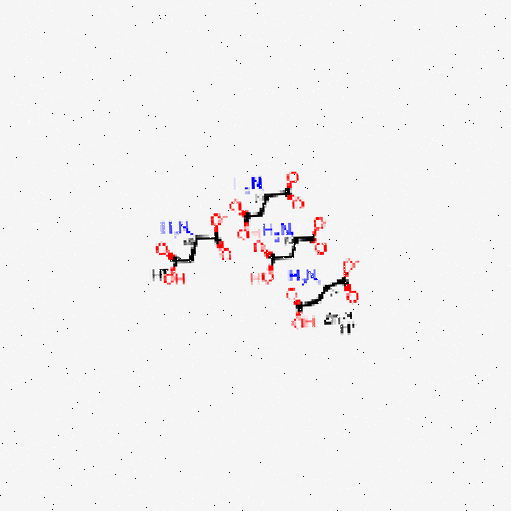 N[C@@H](CC(=O)O)C(=O)[O-].N[C@@H](CC(=O)O)C(=O)[O-].N[C@@H](CC(=O)O)C(=O)[O-].N[C@@H](CC(=O)O)C(=O)[O-].[H+].[H+].[Zn+2]